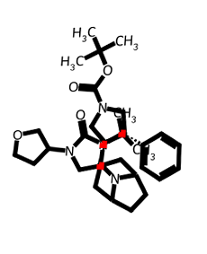 CC(C)N1C(=O)N(C2CCOC2)CC12CC1CCC(C2)N1C[C@H]1CN(C(=O)OC(C)(C)C)C[C@@H]1c1ccccc1